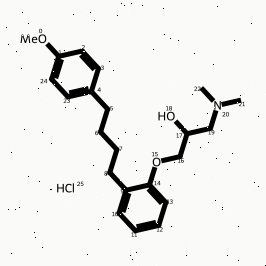 COc1ccc(CCCCc2ccccc2OCC(O)CN(C)C)cc1.Cl